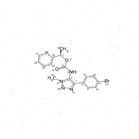 C[C@@H](OC(=O)Nc1c(-c2ccc(Br)cc2)nnn1C)c1ccccc1